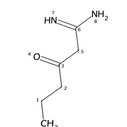 CCCC(=O)[CH]C(=N)N